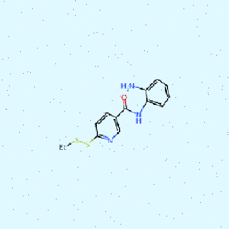 CCSSc1ccc(C(=O)Nc2ccccc2N)cn1